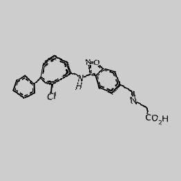 O=C(O)CN=Cc1ccc2c(Nc3cccc(-c4ccccc4)c3Cl)noc2c1